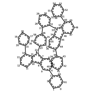 c1ccc(-c2ccc3c(c2)c2cccc(-c4ccccc4)c2n3-c2ccc(-c3ccccc3-n3c4ccc(-c5ccccc5)cc4c4cccc(-c5ccccc5)c43)cc2)cc1